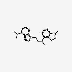 CC(C)c1cccc2c1ncn2CCC(C)c1ccnc2c1CCN2C